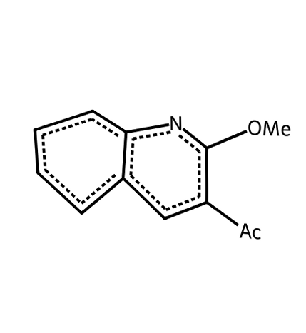 COc1nc2ccccc2cc1C(C)=O